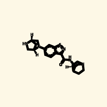 O=C(N[C@H]1CN2CCC1CC2)c1nsc2cc(N3C[C@@H]4C[C@H]3CN4)ccc12